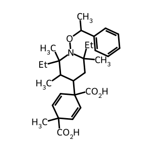 CCC1(C)CC(C2(C(=O)O)C=CC(C)(C(=O)O)C=C2)C(C)C(C)(CC)N1OC(C)c1ccccc1